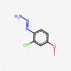 NN=Nc1ccc(OI)cc1Cl